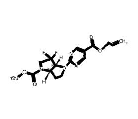 C=CCOC(=O)c1cnc(N2CC[C@H]3[C@@H]2C(F)(F)CN3C(=O)OC(C)(C)C)nc1